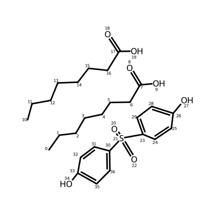 CCCCCCCC(=O)O.CCCCCCCC(=O)O.O=S(=O)(c1ccc(O)cc1)c1ccc(O)cc1